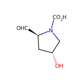 O=C[C@@H]1C[C@@H](O)CN1C(=O)O